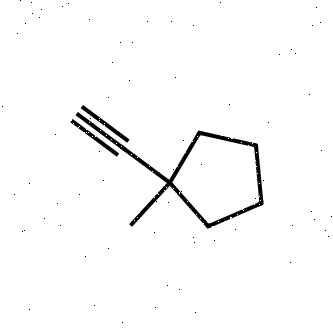 C#CC1(C)CCCC1